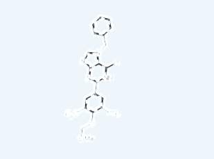 COCOc1c(C)cc(-c2nc3ncn(Cc4ccccc4)c3c(=O)[nH]2)cc1C